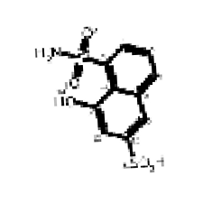 NS(=O)(=O)c1cccc2cc(S(=O)(=O)O)cc(O)c12